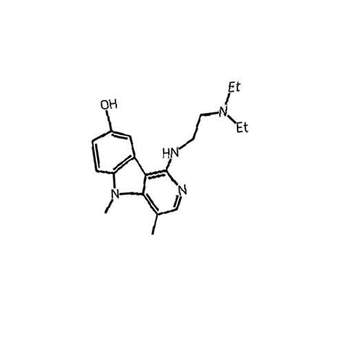 CCN(CC)CCNc1ncc(C)c2c1c1cc(O)ccc1n2C